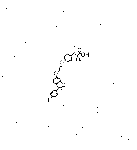 COC(Cc1ccc(OCCCOc2ccc3c(-c4ccc(F)cc4)coc3c2)cc1)C(=O)O